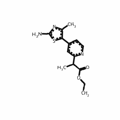 CCOC(=O)C(C)c1cc(-c2sc(N)nc2C)ccn1